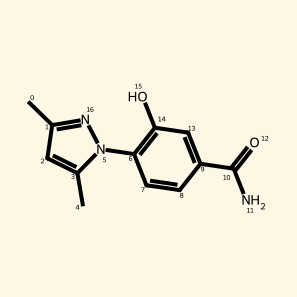 Cc1cc(C)n(-c2ccc(C(N)=O)cc2O)n1